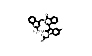 Cc1cc(Cn2nc(-c3c(C)n(CC(=O)O)c4ccc(F)cc34)c3ccccc3c2=O)c2ccccc2n1